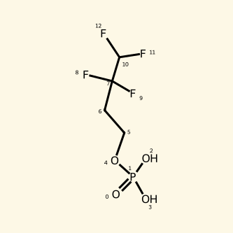 O=P(O)(O)OCCC(F)(F)C(F)F